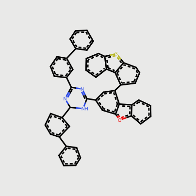 c1ccc(-c2cccc(C3=NC(c4cccc(-c5ccccc5)c4)NC(c4cc(-c5cccc6sc7ccccc7c56)c5c(c4)oc4ccccc45)=N3)c2)cc1